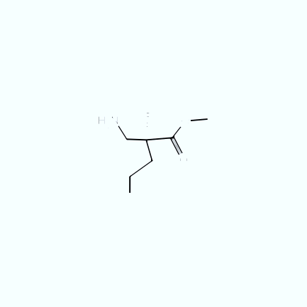 CCC[C@@](C)(CN)C(=O)OC